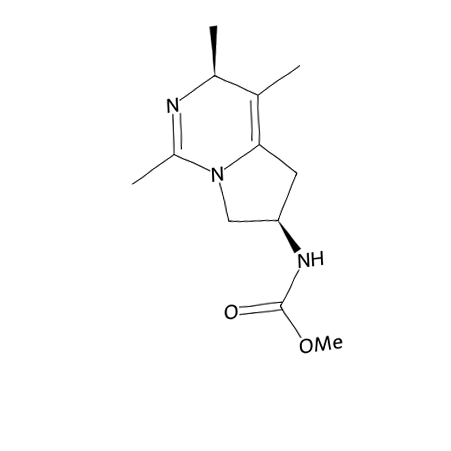 COC(=O)N[C@@H]1CC2=C(C)[C@H](C)N=C(C)N2C1